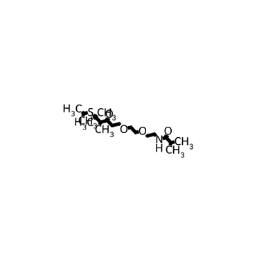 CC(C)SC(C)(C)C(C)C(=O)CCOCCOCCNC(=O)C(C)C